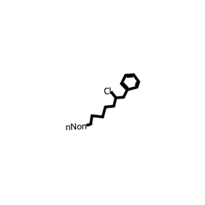 CCCCCCCCCCCCCCC(Cl)Cc1ccccc1